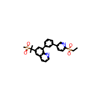 CCS(=O)(=O)c1ccc(-c2cccc(-c3cc(C(C)(C)S(C)(=O)=O)cc4cccnc34)c2)cn1